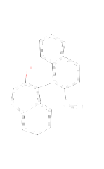 CC(C)COc1ccc2ccccc2c1-c1c(O)ccc2ccccc12